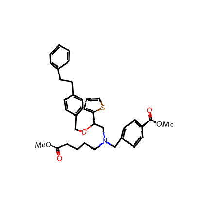 COC(=O)CCCCN(Cc1ccc(C(=O)OC)cc1)CC(OCc1ccc(CCc2ccccc2)cc1)c1cccs1